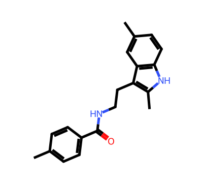 Cc1ccc(C(=O)NCCc2c(C)[nH]c3ccc(C)cc23)cc1